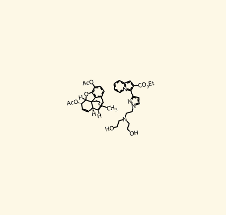 CC(=O)Oc1ccc2c3c1O[C@H]1[C@@H](OC(C)=O)C=C[C@H]4[C@@H](C2)N(C)CC[C@@]341.CCOC(=O)c1cc2ccccn2c1-c1ccn(CCN(CCO)CCO)n1